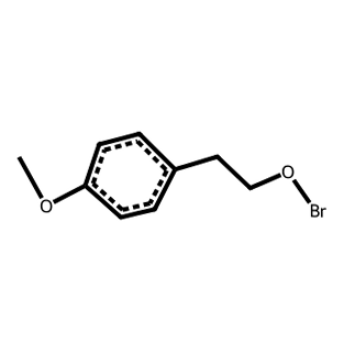 COc1ccc(CCOBr)cc1